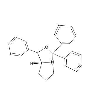 c1ccc(C2OC(c3ccccc3)(c3ccccc3)N3CCC[C@H]23)cc1